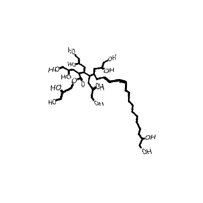 O=C(OCC(O)CO)C(CC(O)CO)C(CC(O)CO)C(CC(O)CO)C(CCC/C=C\CCCCCCCCCC(O)CO)CC(O)CO